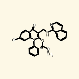 COC(=O)Oc1c(CNc2nccc3ccccc23)c(=O)c2ccc(Cl)cc2n1-c1ccccc1